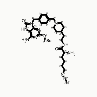 CCCCOc1nc(N)c2[nH]c(=O)n(Cc3ccc(CN4CCC(CCNC(=O)[C@@H](N)CCCCN=[N+]=[N-])CC4)cc3)c2n1